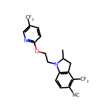 [C-]#[N+]c1ccc2c(c1C(F)(F)F)CC(C)N2CCOc1ccc(C(F)(F)F)cn1